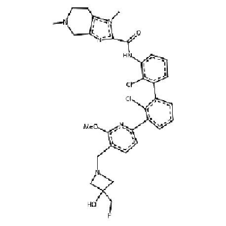 COc1nc(-c2cccc(-c3cccc(NC(=O)c4nc5c(n4C)CCN(C)C5)c3Cl)c2Cl)ccc1CN1CC(O)(CF)C1